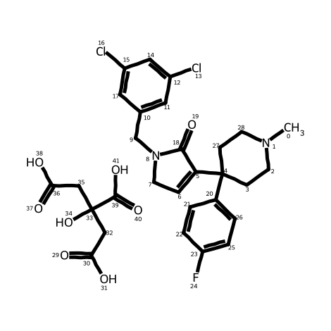 CN1CCC(C2=CCN(Cc3cc(Cl)cc(Cl)c3)C2=O)(c2ccc(F)cc2)CC1.O=C(O)CC(O)(CC(=O)O)C(=O)O